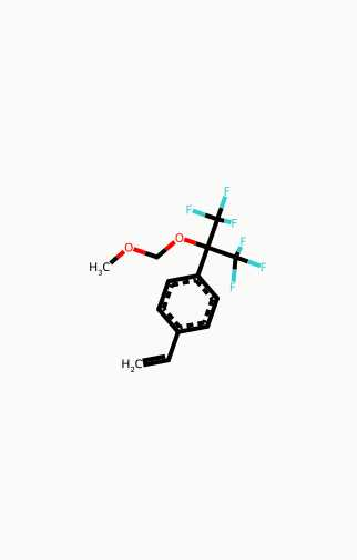 C=Cc1ccc(C(OCOC)(C(F)(F)F)C(F)(F)F)cc1